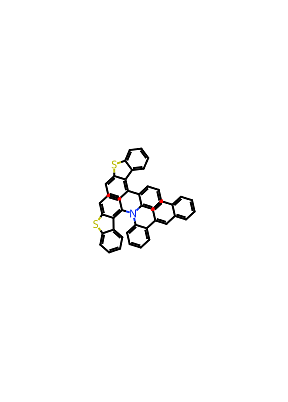 c1ccc(N(c2ccccc2-c2cccc3sc4ccccc4c23)c2cccc3sc4ccccc4c23)c(-c2ccc3ccccc3c2)c1